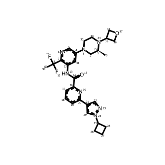 C[C@H]1CN(c2cnc(C(F)(F)F)c(NC(=O)c3cccc(-c4cnn(C5CCC5)c4)n3)c2)CCN1C1COC1